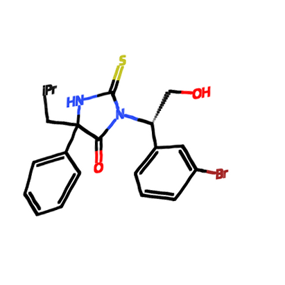 CC(C)CC1(c2ccccc2)NC(=S)N([C@H](CO)c2cccc(Br)c2)C1=O